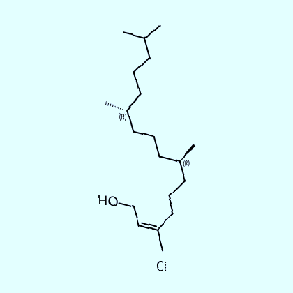 CC(=CCO)CCC[C@H](C)CCC[C@H](C)CCCC(C)C.[C]